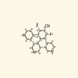 N#Cc1c(F)c(-c2ccncc2)c(-c2ccncc2)c(-c2ccncc2)c1F